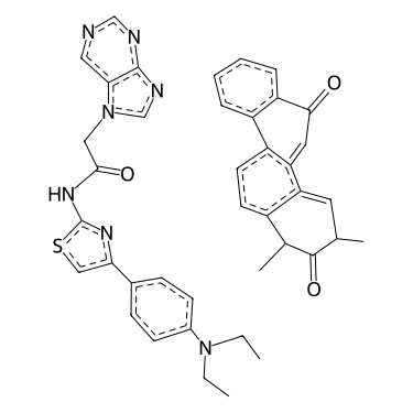 CC1C=c2c(ccc3c2=CC(=O)c2ccccc2-3)C(C)C1=O.CCN(CC)c1ccc(-c2csc(NC(=O)Cn3cnc4ncncc43)n2)cc1